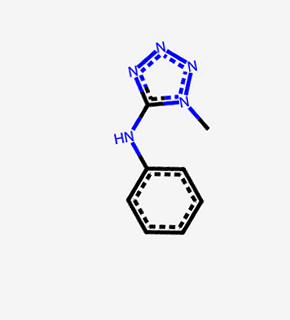 Cn1nnnc1Nc1ccccc1